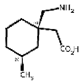 C[C@H]1CCC[C@](CN)(CC(=O)O)C1